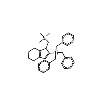 C[Si](C)(C)CC1[C]([Ti]([CH2]c2ccccc2)([CH2]c2ccccc2)[CH2]c2ccccc2)=CC2=C1CCCC2